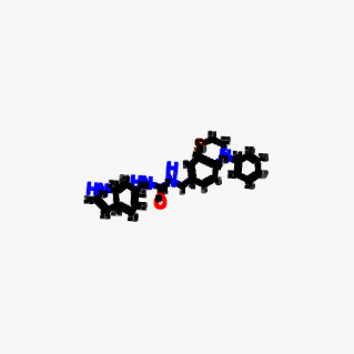 O=C(NCc1ccc2c(c1)SCCN2c1ccccc1)Nc1ccc2cc[nH]c2c1